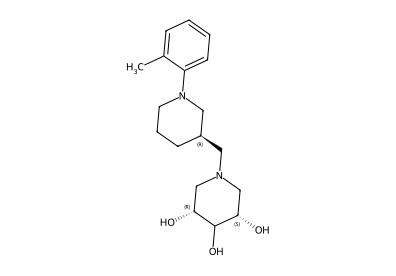 Cc1ccccc1N1CCC[C@H](CN2C[C@@H](O)C(O)[C@@H](O)C2)C1